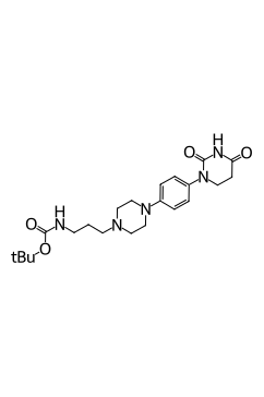 CC(C)(C)OC(=O)NCCCN1CCN(c2ccc(N3CCC(=O)NC3=O)cc2)CC1